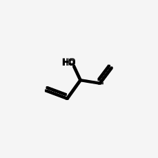 C=[C]C(O)C=C